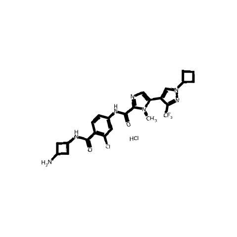 Cl.Cn1c(-c2cn(C3CCC3)nc2C(F)(F)F)cnc1C(=O)Nc1ccc(C(=O)NC2CC(N)C2)c(Cl)c1